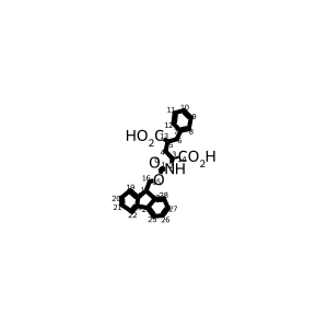 O=C(N[C@@H](CC(Cc1ccccc1)C(=O)O)C(=O)O)OCC1c2ccccc2-c2ccccc21